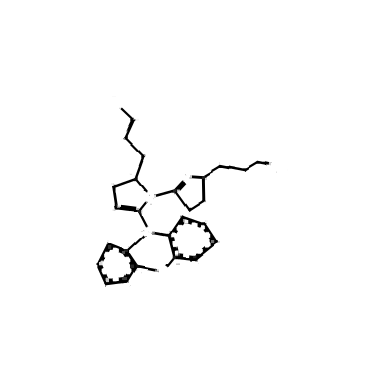 CCCCC1CCC(N2C(N3c4ccccc4Oc4ccccc43)=CCC2CCCC)=N1